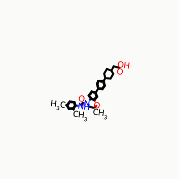 Cc1ccc(NC(=O)N2CC(C)Oc3cc(-c4ccc(C5CCC(CC(=O)O)CC5)cc4)ccc32)c(C)c1